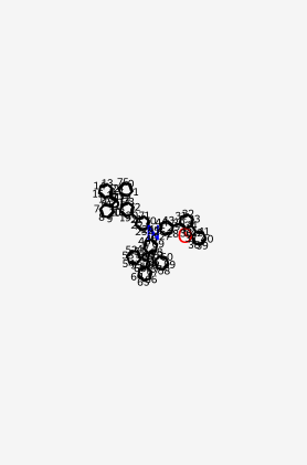 c1ccc([Si](c2ccccc2)(c2ccccc2)c2ccc(-c3ccc(N(c4ccc(-c5cccc6c5oc5ccccc56)cc4)c4ccc([Si](c5ccccc5)(c5ccccc5)c5ccccc5)cc4)cc3)cc2)cc1